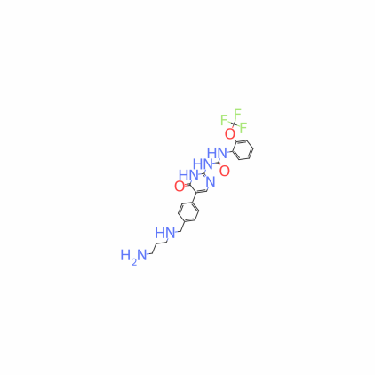 NCCCNCc1ccc(-c2cnc(NC(=O)Nc3ccccc3OC(F)(F)F)[nH]c2=O)cc1